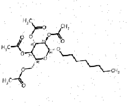 CCCCCCCCO[C@@H]1O[C@H](COC(C)=O)[C@@H](OC(C)=O)[C@H](OC(C)=O)[C@H]1OC(C)=O